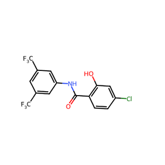 O=C(Nc1cc(C(F)(F)F)cc(C(F)(F)F)c1)c1ccc(Cl)cc1O